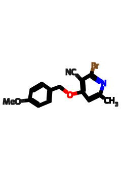 COc1ccc(COc2cc(C)nc(Br)c2C#N)cc1